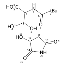 CC(O)C(NC(=O)C(C)(C)C)C(=O)O.O=C1CC(O)C(=O)N1